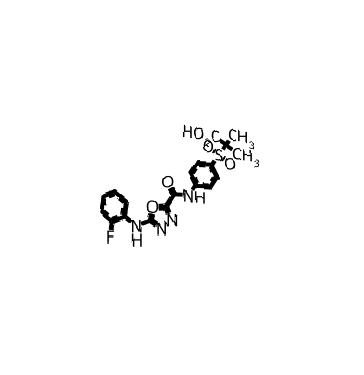 CC(C)(C(=O)O)S(=O)(=O)c1ccc(NC(=O)c2nnc(Nc3ccccc3F)o2)cc1